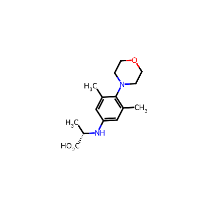 Cc1cc(N[C@@H](C)C(=O)O)cc(C)c1N1CCOCC1